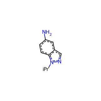 CC(C)n1ncc2cc(N)ccc21